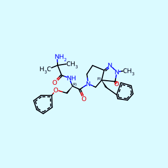 CN1N=C2CCN(C(=O)[C@@H](COc3ccccc3)NC(=O)C(C)(C)N)C[C@@]2(Cc2ccccc2)C1=O